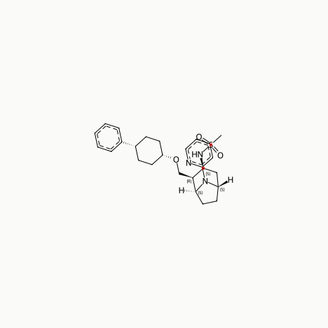 CS(=O)(=O)N[C@H]1C[C@@H]2CC[C@@H]([C@H]1CO[C@H]1CC[C@@H](c3ccccc3)CC1)N2c1ccccn1